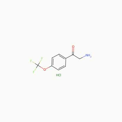 Cl.NCC(=O)c1ccc(OC(F)(F)F)cc1